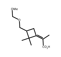 COCOCC1CC(=C(C)C(=O)O)C1(C)C